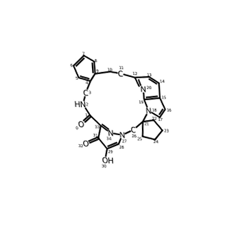 O=C1NCc2ccccc2CCc2ccc3ccn(c3n2)C2(CCCC2)Cn2cc(O)c(=O)c1n2